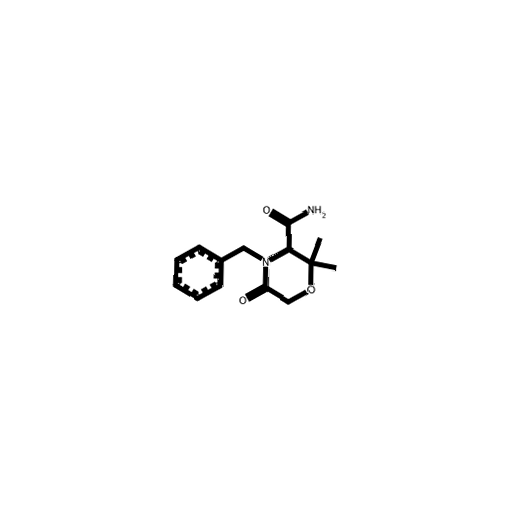 CC1(C)OCC(=O)N(Cc2ccccc2)C1C(N)=O